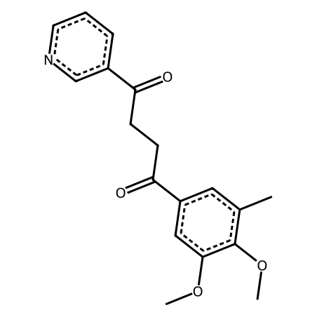 COc1cc(C(=O)CCC(=O)c2cccnc2)cc(C)c1OC